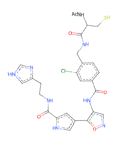 CC(=O)NC(CS)C(=O)NCc1ccc(C(=O)Nc2cnoc2-c2c[nH]c(C(=O)NCCc3c[nH]cn3)c2)cc1Cl